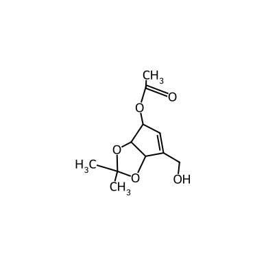 CC(=O)OC1C=C(CO)C2OC(C)(C)OC12